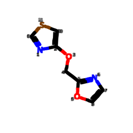 [c]1nc(OCc2ncco2)cs1